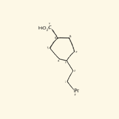 CC(C)CCC1CCC(C(=O)O)CC1